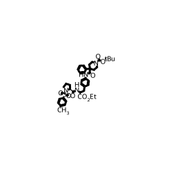 CCOC(=O)[C@H](Cc1ccc(NC(=O)C2(c3ccccc3)CCN(C(=O)OC(C)(C)C)CC2)cc1)NC(=O)[C@@H]1CCCN1S(=O)(=O)c1ccc(C)cc1